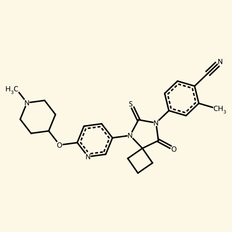 Cc1cc(N2C(=O)C3(CCC3)N(c3ccc(OC4CCN(C)CC4)nc3)C2=S)ccc1C#N